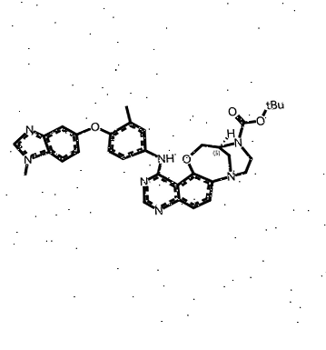 Cc1cc(Nc2ncnc3ccc4c(c23)OC[C@@H]2CN4CCN2C(=O)OC(C)(C)C)ccc1Oc1ccc2c(c1)ncn2C